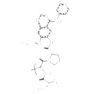 CN[C@@H](C)C(=O)N[C@H](C(=O)N1CCC[C@H]1C(=O)Nc1cc2c(Nc3ccncc3)ncnc2cc1OC)C(C)(C)C.Cl